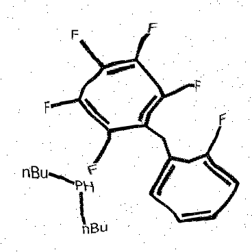 CCCCPCCCC.Fc1ccccc1-c1c(F)c(F)c(F)c(F)c1F